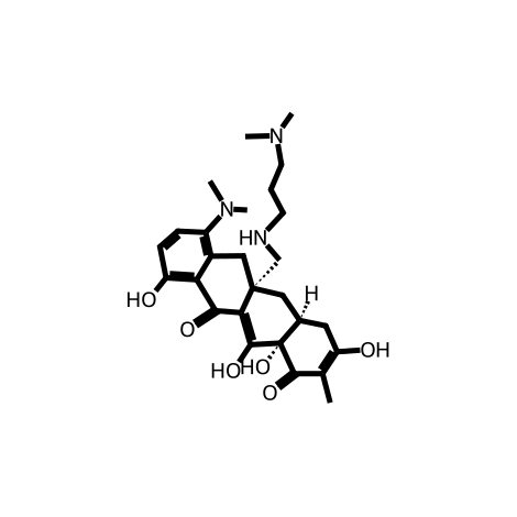 CC1=C(O)C[C@@H]2C[C@]3(CNCCCN(C)C)Cc4c(N(C)C)ccc(O)c4C(=O)C3=C(O)[C@]2(O)C1=O